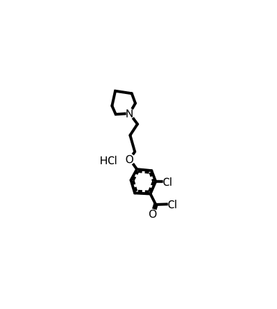 Cl.O=C(Cl)c1ccc(OCCCN2CCCCC2)cc1Cl